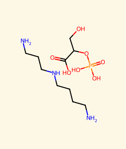 NCCCCNCCCN.O=C(O)C(CO)OP(=O)(O)O